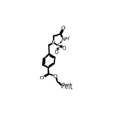 CCCC(C)COC(=O)c1ccc(CN2CC(=O)NS2(=O)=O)cc1